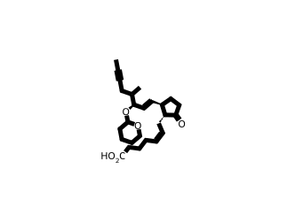 CC#CCC(C)[C@@H](/C=C/[C@H]1CCC(=O)[C@@H]1C/C=C\CCCC(=O)O)OC1CCCCO1